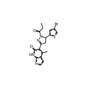 CCC(=O)N1N=C(c2c(C)c3ccsc3[nH]c2=O)CC1c1cc(Br)cs1